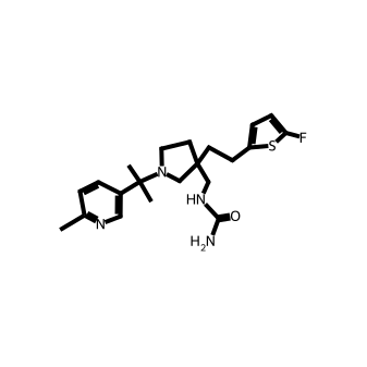 Cc1ccc(C(C)(C)N2CCC(CCc3ccc(F)s3)(CNC(N)=O)C2)cn1